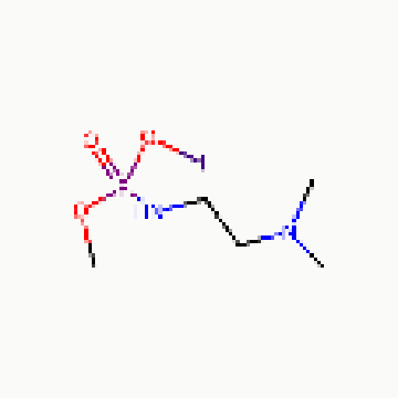 COP(=O)(NCCN(C)C)OI